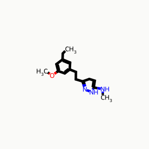 CCc1cc(CCC2=NNC(NC)=CC2)cc(OC)c1